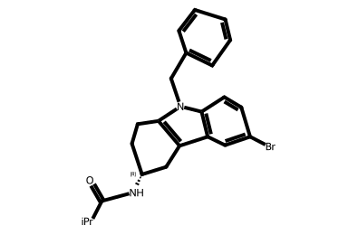 CC(C)C(=O)N[C@@H]1CCc2c(c3cc(Br)ccc3n2Cc2ccccc2)C1